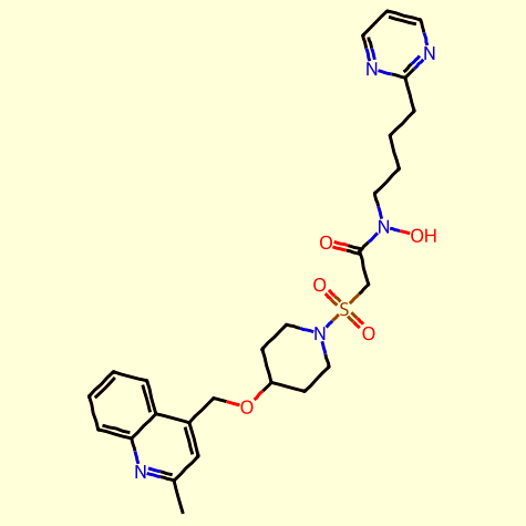 Cc1cc(COC2CCN(S(=O)(=O)CC(=O)N(O)CCCCc3ncccn3)CC2)c2ccccc2n1